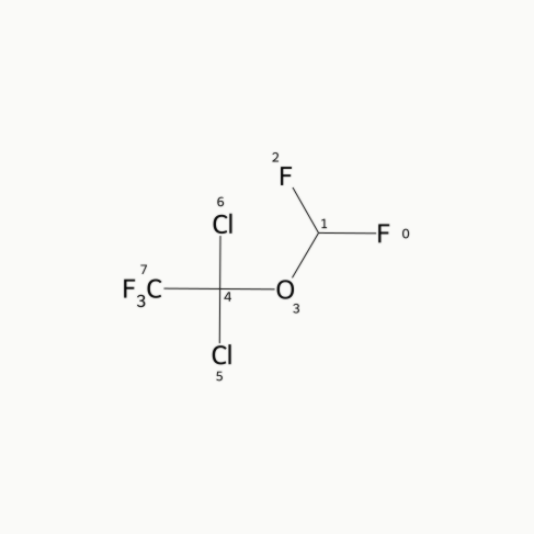 FC(F)OC(Cl)(Cl)C(F)(F)F